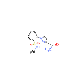 CCCCNS(=O)(=O)c1ccccc1-n1ccc(C(N)=O)n1